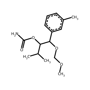 COCOC(c1cccc(C)c1)C(OC(N)=O)C(C)C